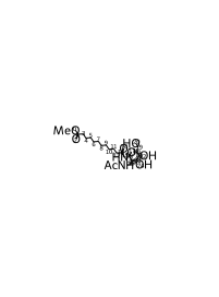 COC(=O)CCCCCCCCCCC(=O)N[C@@H]1O[C@H](CO)[C@@H](O)[C@H](O)[C@H]1NC(C)=O